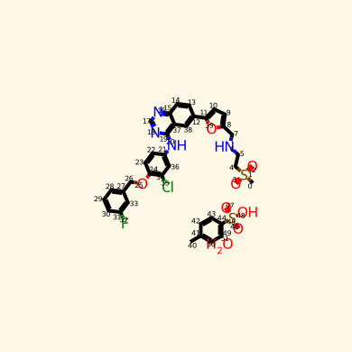 CS(=O)(=O)CCNCc1ccc(-c2ccc3ncnc(Nc4ccc(OCc5cccc(F)c5)c(Cl)c4)c3c2)o1.Cc1ccc(S(=O)(=O)O)cc1.O